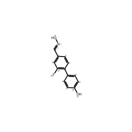 O/N=C/c1ccc(-c2ccc(O)cc2)c(F)c1